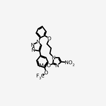 COc1nc([N+](=O)[O-])cn1CCCOc1ccccc1-n1cc(-c2ccc(OC(F)(F)F)cc2)nn1